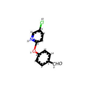 O=Cc1ccc(Oc2ccc(Cl)cn2)cc1